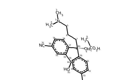 CC(=O)O.CN(C)CCC[C@@](O)(c1ccc(F)cc1)c1ccc(C#N)cc1CO